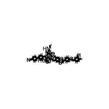 CCNc1nc(C)c(S(=O)(=O)N2Cc3cc4c(cc3C[C@H]2C(=O)NC(Cc2ccc(-c3ccc(C#N)cc3)cc2)C(=O)O)OC[C@H](c2ccc(OCc3ccc(C)c(Cl)c3)cc2)O4)s1